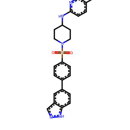 Cc1ccc(NC2CCN(S(=O)(=O)c3ccc(-c4ccc5[nH]ncc5c4)cc3)CC2)nc1